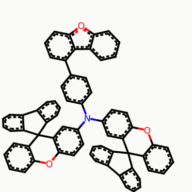 c1ccc2c(c1)Oc1ccc(N(c3ccc(-c4cccc5oc6ccccc6c45)cc3)c3ccc4c(c3)C3(c5ccccc5O4)c4ccccc4-c4ccccc43)cc1C21c2ccccc2-c2ccccc21